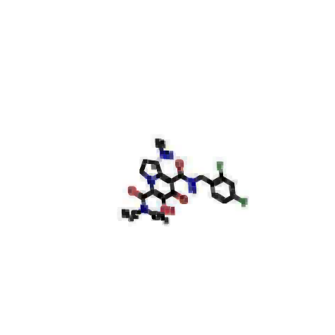 CCN[C@H]1CCn2c(C(=O)N(C)C)c(O)c(=O)c(C(=O)NCc3ccc(F)cc3F)c21